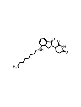 NCCCCCCCNc1cccc2c1CN(C1CCC(=O)NC1=O)C2=O